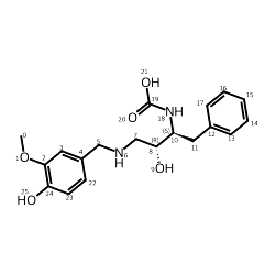 COc1cc(CNC[C@@H](O)[C@H](Cc2ccccc2)NC(=O)O)ccc1O